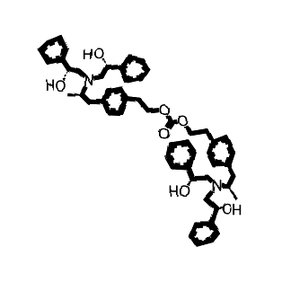 C[C@H](Cc1ccc(CCOC(=O)OCCc2ccc(C[C@@H](C)N(C[C@H](O)c3ccccc3)C[C@H](O)c3ccccc3)cc2)cc1)N(C[C@H](O)c1ccccc1)C[C@H](O)c1ccccc1